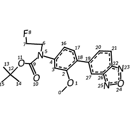 COc1cc(N(CCF)C(=O)OC(C)(C)C)ccc1-c1ccc2nonc2c1